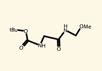 COCNC(=O)CNC(=O)OC(C)(C)C